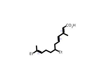 CC/C(C)=C/CCC(CC)C/C=C/C(C)=C/C(=O)O